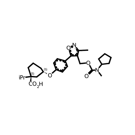 Cc1noc(-c2ccc(O[C@H]3CCC[C@@](C(=O)O)(C(C)C)C3)cc2)c1COC(=O)N(C)C1CCCC1